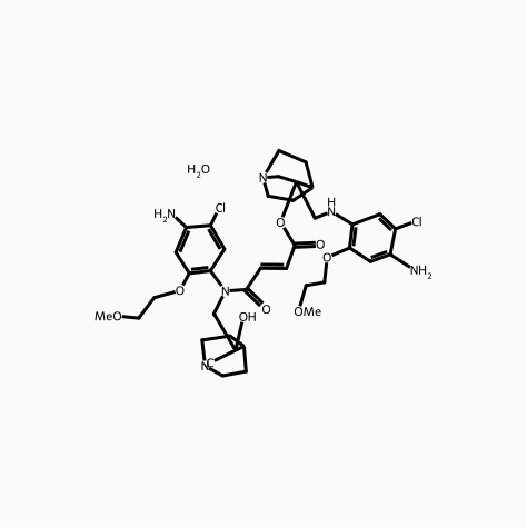 COCCOc1cc(N)c(Cl)cc1NCC1(OC(=O)/C=C/C(=O)N(CC2(O)CN3CCC2CC3)c2cc(Cl)c(N)cc2OCCOC)CN2CCC1CC2.O